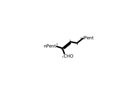 CCCCCC(C=O)=CCC(C)CCC